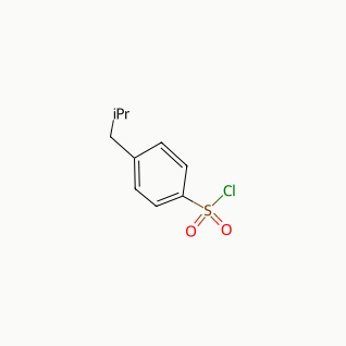 CC(C)Cc1ccc(S(=O)(=O)Cl)cc1